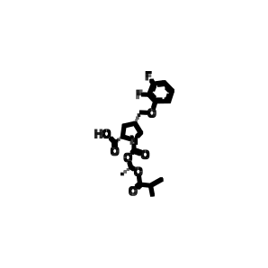 CC(C)C(=O)O[C@H](C)OC(=O)N1C[C@@H](COc2cccc(F)c2F)C[C@H]1C(=O)O